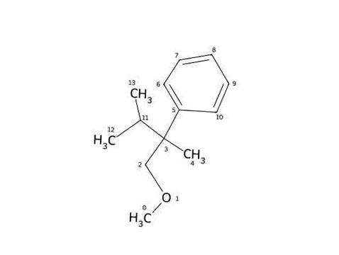 COCC(C)(c1ccccc1)C(C)C